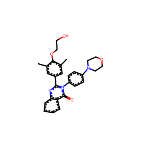 Cc1cc(-c2nc3ccccc3c(=O)n2-c2ccc(N3CCOCC3)cc2)cc(C)c1OCCO